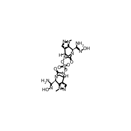 Cn1ncc2c1[C@@H](/C(N)=N/O)N1C[C@@H]2N(OS(=O)(=O)ON2C(=O)N3C[C@H]2c2cnn(C)c2[C@H]3/C(N)=N/O)C1=O